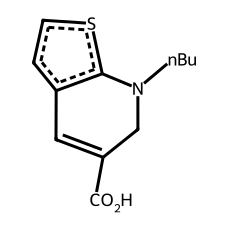 CCCCN1CC(C(=O)O)=Cc2ccsc21